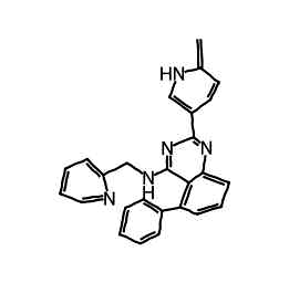 C=C1C=CC(c2nc(NCc3ccccn3)c3c(-c4ccccc4)cccc3n2)=CN1